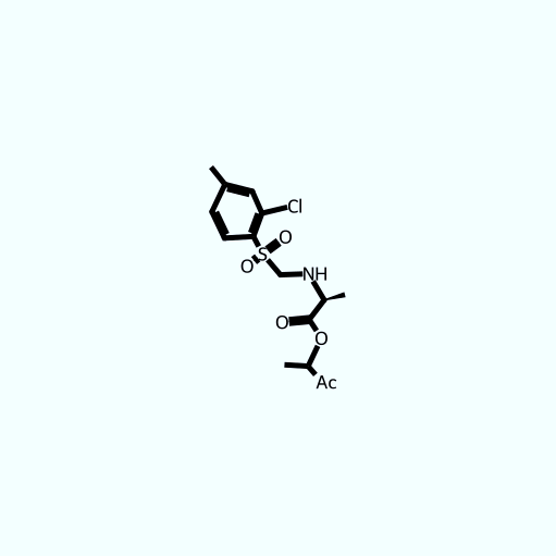 CC(=O)C(C)OC(=O)[C@H](C)NCS(=O)(=O)c1ccc(C)cc1Cl